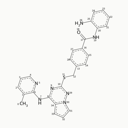 Cc1cccnc1Nc1nc(SCc2ccc(C(=O)Nc3ccccc3N)cc2)nn2cccc12